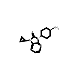 N[C@H]1CC[C@H](n2c(=O)n(C3CC3)c3nccnc32)CC1